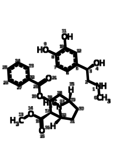 CNC[C@H](O)c1ccc(O)c(O)c1.COC(=O)[C@H]1[C@@H](OC(=O)c2ccccc2)C[C@@H]2CC[C@H]1N2C